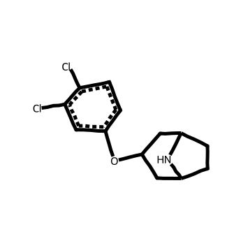 Clc1ccc(OC2CC3CCC(C2)N3)cc1Cl